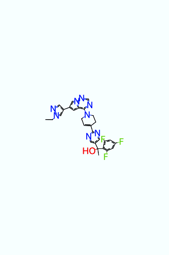 CCn1cc(-c2cc3c(N4CC=C(c5ncc(C(C)(O)c6c(F)cc(F)cc6F)cn5)CC4)ncnn3c2)cn1